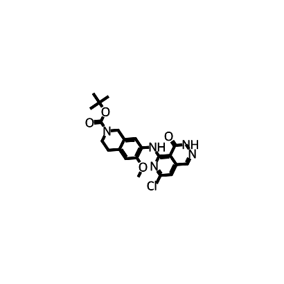 COc1cc2c(cc1Nc1nc(Cl)cc3cn[nH]c(=O)c13)CN(C(=O)OC(C)(C)C)CC2